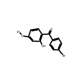 CCOc1ccc(C(=O)c2ccc(Br)cc2)c(O)c1